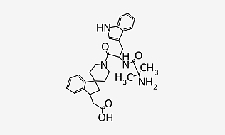 CC(C)(N)C(=O)NC(Cc1c[nH]c2ccccc12)C(=O)N1CCC2(CC1)CC(CC(=O)O)c1ccccc12